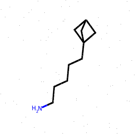 NCCCCCC12CC(C1)C2